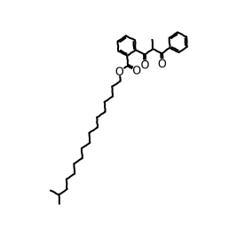 CC(C)CCCCCCCCCCCCCCCOC(=O)c1ccccc1C(=O)C(C)C(=O)c1ccccc1